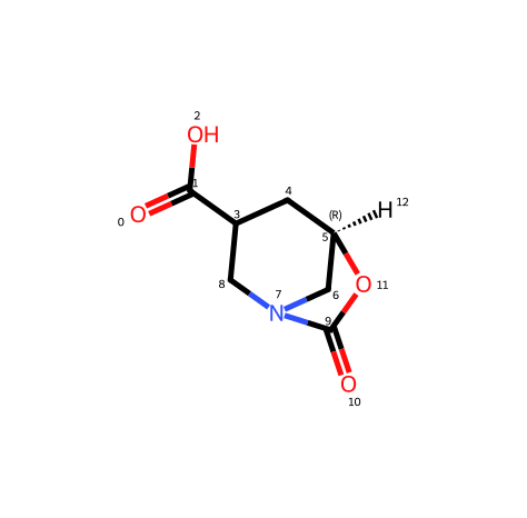 O=C(O)C1C[C@@H]2CN(C1)C(=O)O2